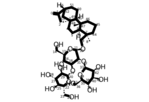 C=C1C[C@@]23CC[C@@H]4[C@](C)(CO[C@@H]5O[C@H](CO)[C@@H](O)[C@H](O[C@@H]6O[C@H](CO)[C@@H](O)[C@H](O)[C@H]6O)[C@H]5O[C@@H]5O[C@H](CO)[C@@H](O)[C@H](O)[C@H]5O)CCC[C@@]4(C)[C@@H]2CC[C@@H]1C3